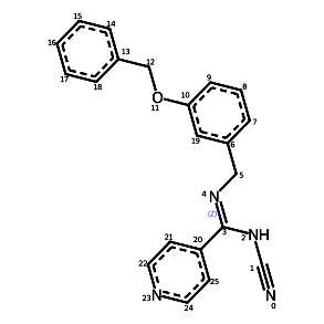 N#CN/C(=N\Cc1cccc(OCc2ccccc2)c1)c1ccncc1